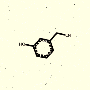 N#C[CH]c1cccc(O)c1